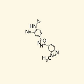 Cn1cnc2ccc(-c3nnc(-c4ccc(NC5CC5)c(C#N)c4)o3)cc21